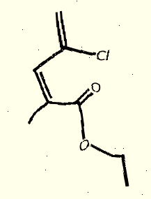 C=C(Cl)C=C(C)C(=O)OCC